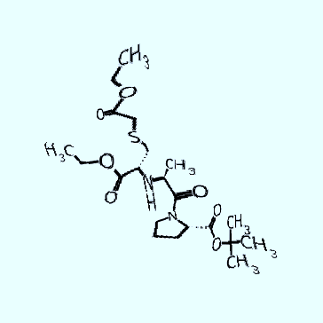 CCOC(=O)CSC[C@H](N[C@@H](C)C(=O)N1CCC[C@H]1C(=O)OC(C)(C)C)C(=O)OCC